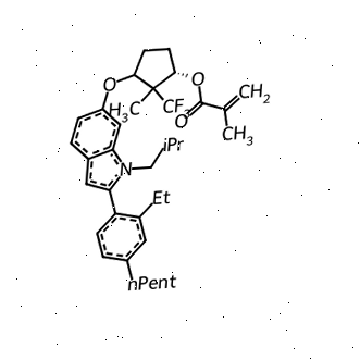 C=C(C)C(=O)O[C@H]1CCC(Oc2ccc3cc(-c4ccc(CCCCC)cc4CC)n(CC(C)C)c3c2)C1(C)C(F)(F)F